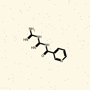 N=C(N)NC(=N)NC(=O)c1cccnc1